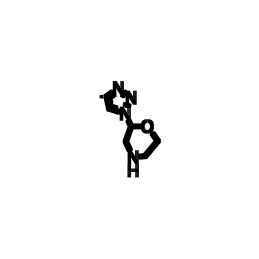 [c]1cn(C2CNCCO2)nn1